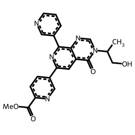 COC(=O)c1ccc(-c2cc3c(=O)n(C(C)CO)cnc3c(-c3cccnc3)n2)cn1